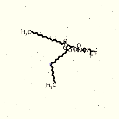 CCCCCCCC/C=C\CCCCCCCC(=O)OC(COC(=O)CCCCCCCCCCCCCCC)COC(=O)NC1CN(CC(CF)CF)C1